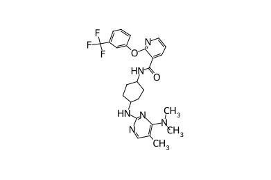 Cc1cnc(NC2CCC(NC(=O)c3cccnc3Oc3cccc(C(F)(F)F)c3)CC2)nc1N(C)C